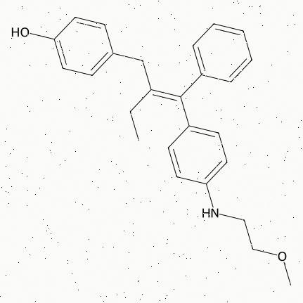 CCC(Cc1ccc(O)cc1)=C(c1ccccc1)c1ccc(NCCOC)cc1